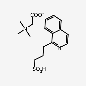 C[N+](C)(C)CC(=O)[O-].O=S(=O)(O)CCCc1nccc2ccccc12